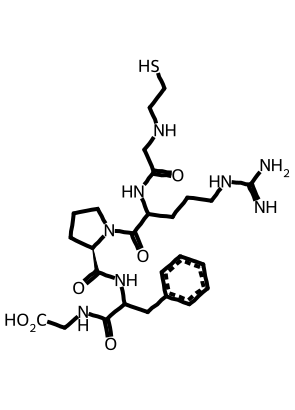 N=C(N)NCCCC(NC(=O)CNCCS)C(=O)N1CCC[C@@H]1C(=O)NC(Cc1ccccc1)C(=O)NCC(=O)O